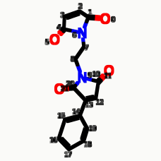 O=C1C=CC(=O)N1CCN1C(=O)C=C(c2ccccc2)C1=O